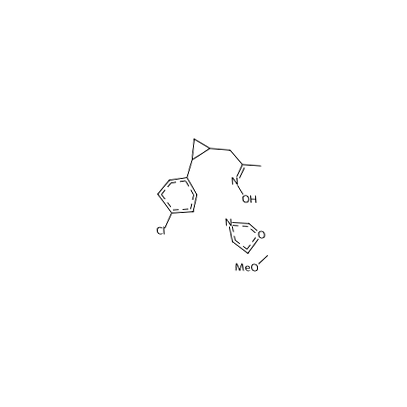 CC(CC1CC1c1ccc(Cl)cc1)=NO.COC.c1cocn1